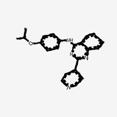 CC(C)Oc1ccc(Nc2nc(-c3ccncc3)nc3ccccc23)cc1